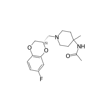 CC(=O)NC1(C)CCN(C[C@H]2COc3ccc(F)cc3O2)CC1